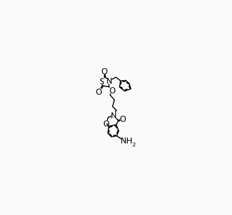 Nc1ccc2c(c1)C(=O)N(CCCCOC1C(=O)SC(=O)N1Cc1ccccc1)CO2